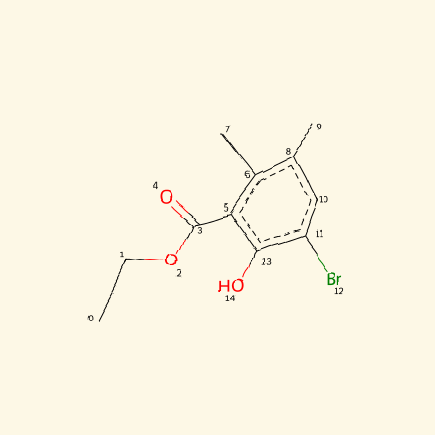 CCOC(=O)c1c(C)c(C)cc(Br)c1O